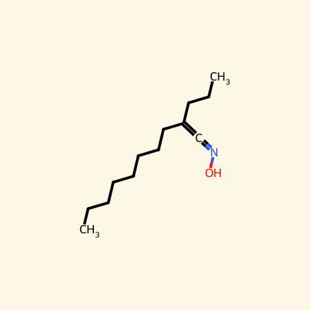 CCCCCCCCC(=C=NO)CCC